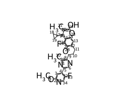 COc1cc(-c2cnc(C3CCc4ccc([C@H](C5CC5)[C@H](C)C(=O)O)c(F)c4O3)c(C)n2)c(F)cn1